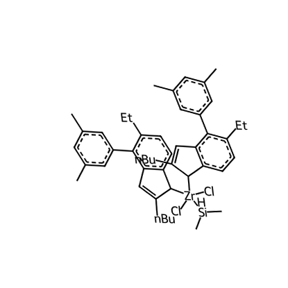 CCCCC1=Cc2c(ccc(CC)c2-c2cc(C)cc(C)c2)[CH]1[Zr]([Cl])([Cl])([CH]1C(CCCC)=Cc2c1ccc(CC)c2-c1cc(C)cc(C)c1)[SiH](C)C